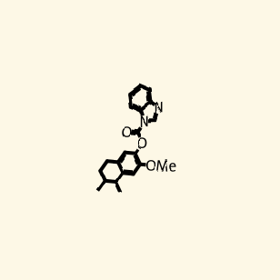 COc1cc2c(cc1OC(=O)n1cnc3ccccc31)CCC(C)C2C